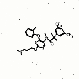 Cc1ccccc1Oc1nc(OCCCN(C)C)ncc1N(C)C(=O)C(C)(C)c1cc(C(F)(F)F)cc(C(F)(F)F)c1